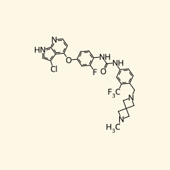 CN1CC2(C1)CN(Cc1ccc(NC(=O)Nc3ccc(Oc4ccnc5[nH]cc(Cl)c45)cc3F)cc1C(F)(F)F)C2